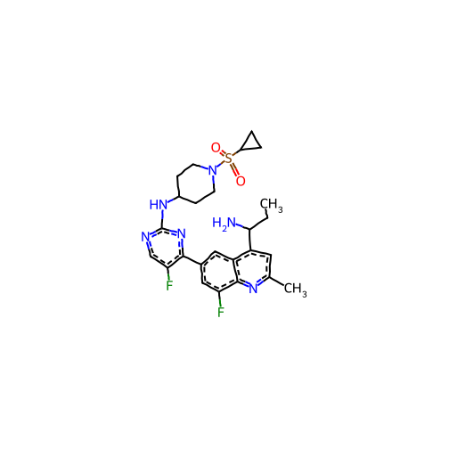 CCC(N)c1cc(C)nc2c(F)cc(-c3nc(NC4CCN(S(=O)(=O)C5CC5)CC4)ncc3F)cc12